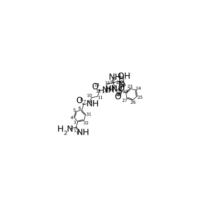 N=C(N)c1ccc(C(=O)NCCC(=O)NCC(N)(NS(=O)(=O)c2ccccc2)C(=O)O)cc1